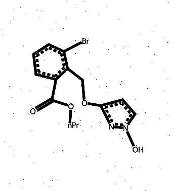 CCCOC(=O)c1cccc(Br)c1COc1ccn(O)n1